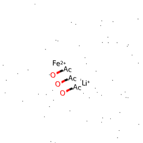 CC(=O)[O-].CC(=O)[O-].CC(=O)[O-].[Fe+2].[Li+]